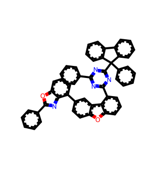 c1ccc(-c2nc(-c3cccc4oc5ccc(-c6cccc7oc(-c8ccccc8)nc67)cc5c34)nc(C3(c4ccccc4)c4ccccc4-c4ccccc43)n2)cc1